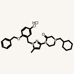 Cc1cc(N2CCN(CC3CCCCC3)CC2=O)nn1Cc1cc(Cl)ccc1OCc1ccccc1.Cl